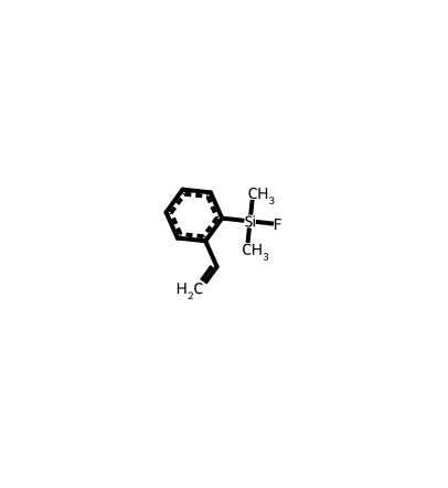 C=Cc1ccccc1[Si](C)(C)F